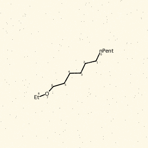 CCCCCCCCCC[CH]OCC